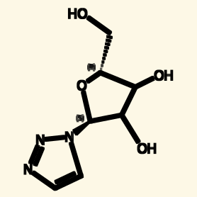 OC[C@H]1O[C@H](n2ccnn2)C(O)C1O